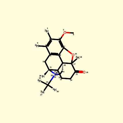 [2H]c1c([2H])c(OC)c2c3c1C[C@@H]1[C@@H]4CCC(=O)C([2H])(O2)[C@]34CCN1C([2H])([2H])[2H]